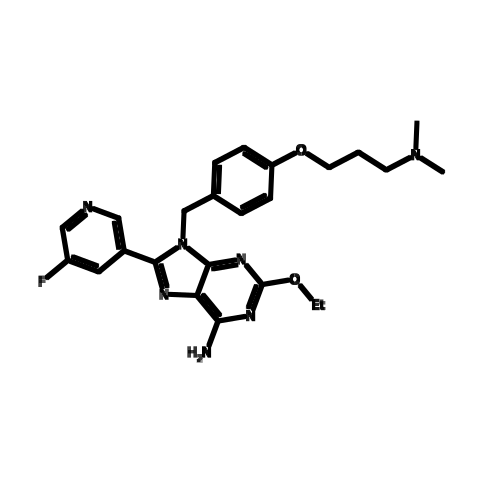 CCOc1nc(N)c2nc(-c3cncc(F)c3)n(Cc3ccc(OCCCN(C)C)cc3)c2n1